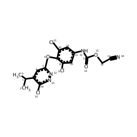 CC(C)c1cc(Oc2c(Cl)cc(NC(=O)OCC#N)cc2Cl)nnc1Cl